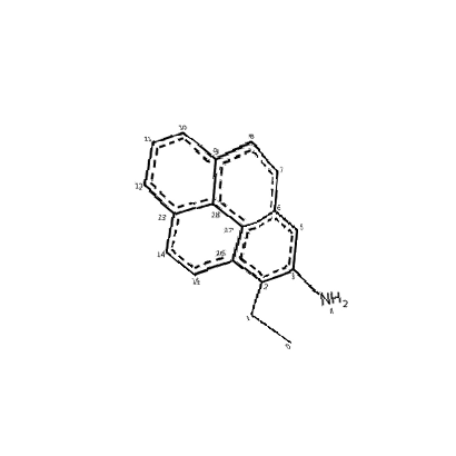 CCc1c(N)cc2ccc3cccc4ccc1c2c34